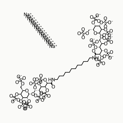 O=C(NCCCCCCCCCCCCNC(=O)[C@H](OS(=O)(=O)[O-])[C@@H](OS(=O)(=O)[O-])[C@H](OS(=O)(=O)[O-])[C@@H](CO[C@H]1O[C@H](COS(=O)(=O)[O-])[C@H](OS(=O)(=O)[O-])[C@H](OS(=O)(=O)[O-])[C@H]1OS(=O)(=O)[O-])OS(=O)(=O)[O-])[C@H](OS(=O)(=O)[O-])[C@@H](OS(=O)(=O)[O-])[C@H](OS(=O)(=O)[O-])[C@@H](CO[C@H]1O[C@H](COS(=O)(=O)[O-])[C@H](OS(=O)(=O)[O-])[C@H](OS(=O)(=O)[O-])[C@H]1OS(=O)(=O)[O-])OS(=O)(=O)[O-].[Na+].[Na+].[Na+].[Na+].[Na+].[Na+].[Na+].[Na+].[Na+].[Na+].[Na+].[Na+].[Na+].[Na+].[Na+].[Na+]